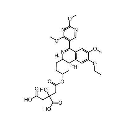 CCOc1cc2c(cc1OC)C(c1cnc(OC)nc1OC)=N[C@@H]1CC[C@@H](OC(=O)CC(O)(CC(=O)O)C(=O)O)C[C@H]21